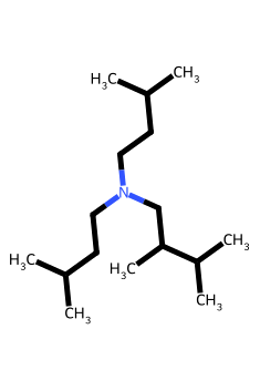 CC(C)CCN(CCC(C)C)CC(C)C(C)C